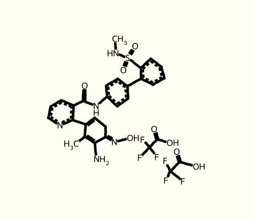 CNS(=O)(=O)c1ccccc1-c1ccc(NC(=O)c2cccnc2C2=CCC(=NO)C(N)=C2C)cc1.O=C(O)C(F)(F)F.O=C(O)C(F)(F)F